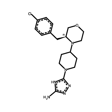 Nc1nnc(N2CCC(N3CCOC[C@@H]3Cc3ccc(Cl)cc3)CC2)[nH]1